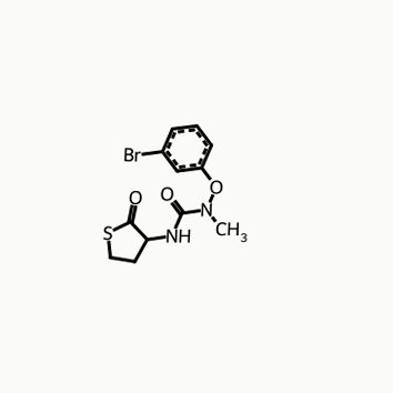 CN(Oc1cccc(Br)c1)C(=O)NC1CCSC1=O